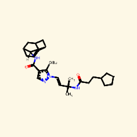 CC(C)COc1c(C(=O)N[C@@H]2C3CC=C4C(C3)CC42)cnn1/C=C/C(C)(C)NC(=O)CCC1CCCC1